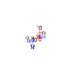 CN1CCC(Nc2ccc(S(=O)(=O)NC(=O)c3ccccc3Oc3cccc(I)c3)cc2[N+](=O)[O-])CC1